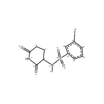 CN(C1CCC(=O)NC1=O)S(=O)(=O)c1cccc(F)c1